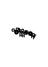 O=C(Nc1ccn(-c2ccc(OC(F)(F)F)cc2)n1)N[C@H]1CCOc2c(Cl)cccc21